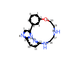 c1cc2cc(c1)-c1cnc3ccc(nn13)NCCNCCO2